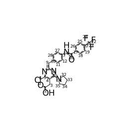 O=C(O)Cc1c(Cl)nc(Cc2ccc(NC(=O)c3ccc(C(F)(F)F)cc3)cc2)nc1N1CCCC1